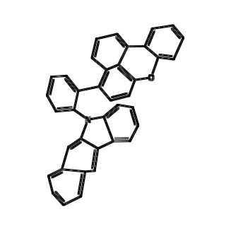 c1ccc2c(c1)Oc1ccc(-c3ccccc3-n3c4ccccc4c4cc5ccccc5cc43)c3cccc-2c13